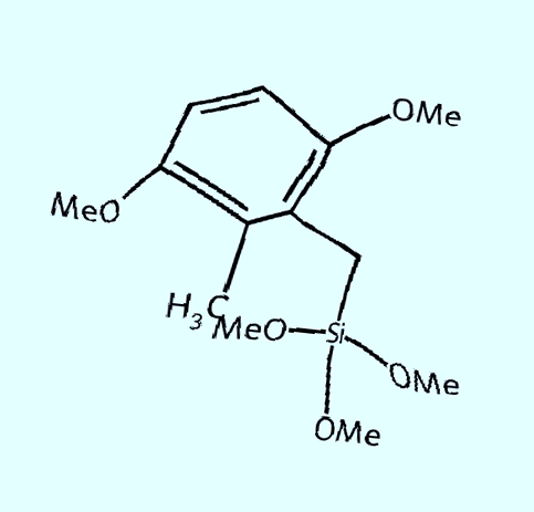 COc1ccc(OC)c(C[Si](OC)(OC)OC)c1C